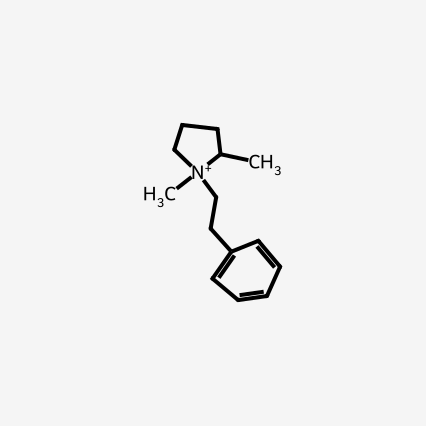 CC1CCC[N+]1(C)CCc1ccccc1